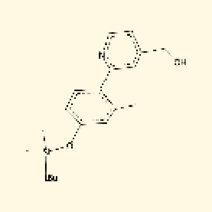 Cc1cc(O[Si](C)(C)C(C)(C)C)ccc1-c1cc(CO)ccn1